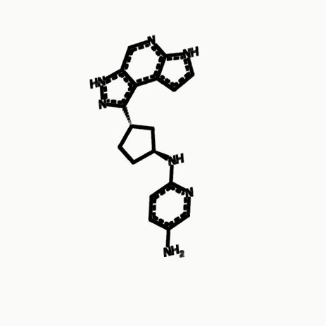 Nc1ccc(N[C@H]2CC[C@H](c3n[nH]c4cnc5[nH]ccc5c34)C2)nc1